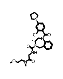 COCCN(C)C(=O)CNC(=O)N1Cc2ccccc2N(C(=O)c2ccc(N3CCCC3)cc2Cl)C[C@H]1C